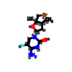 CC[C@@]1(CBr)O[C@@H](n2cc(F)c(N)nc2=O)C[C@@H]1C